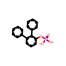 O=P(O)(O)Oc1cccc(-c2ccccc2)c1-c1ccccc1